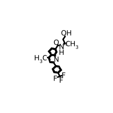 Cc1cc(-c2ccc(C(F)(F)F)cc2)nc2cc(C(=O)N[C@H](C)CCO)ccc12